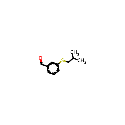 CC(C)CSc1cccc(C=O)c1